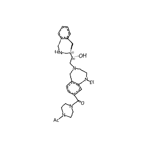 CCN1CCN(C[C@@H](O)[C@@H]2Cc3ccccc3CN2)Cc2ccc(C(=O)N3CCN(C(C)=O)CC3)cc21